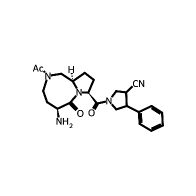 CC(=O)N1CC[C@H](N)C(=O)N2[C@H](CC[C@H]2C(=O)N2CC(C#N)C(c3ccccc3)C2)C1